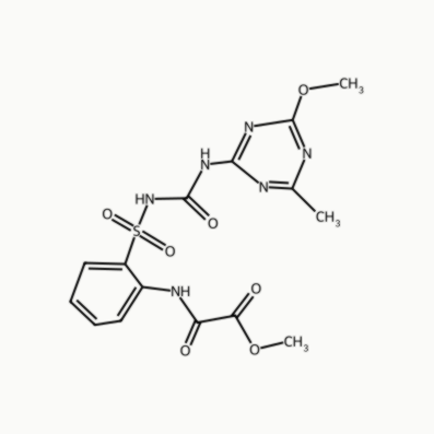 COC(=O)C(=O)Nc1ccccc1S(=O)(=O)NC(=O)Nc1nc(C)nc(OC)n1